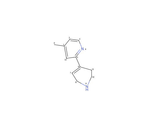 Cc1ccnc(C2=CCNCC2)c1